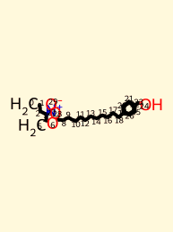 C=CCC(C(=C)OCCCCCCCCCCCCc1ccc(CO)cc1)[N+](=O)[O-]